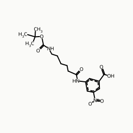 CC(C)(C)OC(=O)NCCCCCC(=O)Nc1cc(C(=O)O)cc([N+](=O)[O-])c1